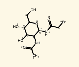 CC(=O)NC1C(O)[C@H](O)C(CO)O[C@H]1NC(=O)CBr